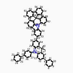 CC1(C)c2cc(-c3ccccc3)ccc2N(c2ccc(-c3ccccc3)cc2)c2ccc(-c3ccc4c(c3)c3cccc5c3n4-c3ccccc3C5(c3ccccc3)c3ccccc3)cc21